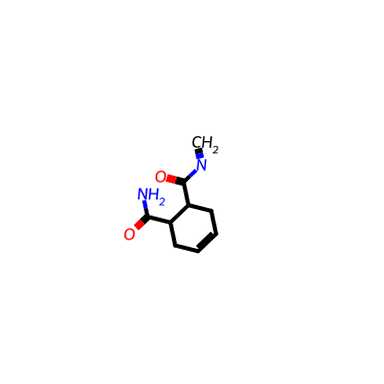 C=NC(=O)C1CC=CCC1C(N)=O